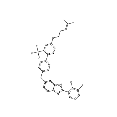 CC(C)=CCCOc1ccc(-c2ccc(Cn3ccc4nc(-c5cccc(F)c5F)nc-4c3)cc2)c(C(F)(F)F)c1